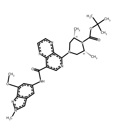 COc1cc(NC(=O)c2cnc(N3C[C@@H](C)N(C(=O)OC(C)(C)C)[C@@H](C)C3)c3nccnc23)cc2cn(C)nc12